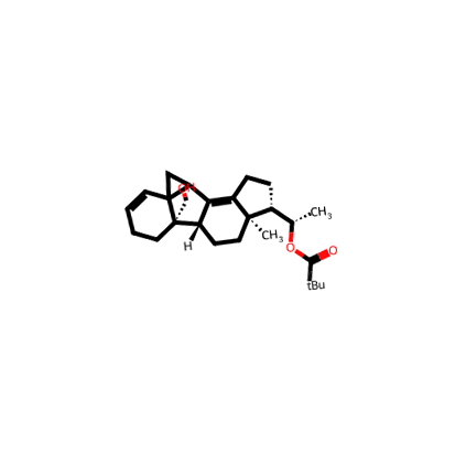 C[C@H](OC(=O)C(C)(C)C)[C@H]1CCC2=C3C4CC45C=CCC[C@]5(CO)[C@H]3CC[C@@]21C